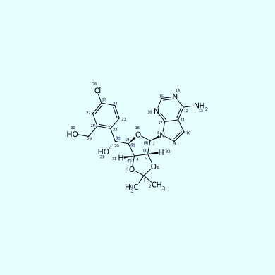 CC1(C)O[C@H]2[C@@H](O1)[C@H](n1ccc3c(N)ncnc31)O[C@@H]2[C@H](O)c1ccc(Cl)cc1CO